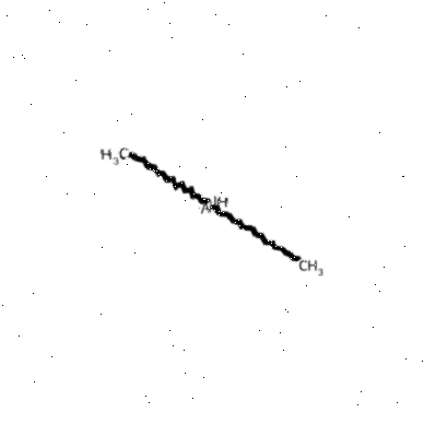 CCCCCCCCCCCCCCCCC[CH2][Al][CH2]CCCCCCCCCCCCCCCCC.I